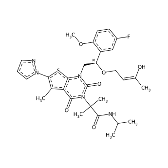 COc1ccc(F)cc1[C@H](Cn1c(=O)n(C(C)(C)C(=O)NC(C)C)c(=O)c2c(C)c(-n3cccn3)sc21)OCC=C(C)O